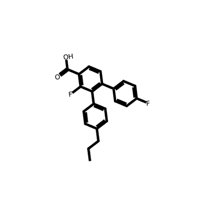 CCCc1ccc(-c2c(-c3ccc(F)cc3)ccc(C(=O)O)c2F)cc1